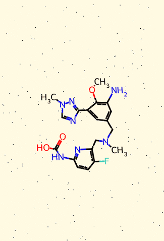 COc1c(N)cc(CN(C)Cc2nc(NC(=O)O)ccc2F)cc1-c1ncn(C)n1